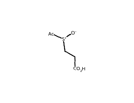 CC(=O)[S+]([O-])CCC(=O)O